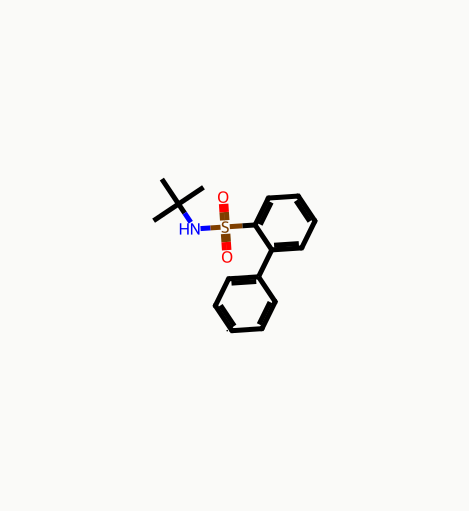 CC(C)(C)NS(=O)(=O)c1ccccc1-c1cc[c]cc1